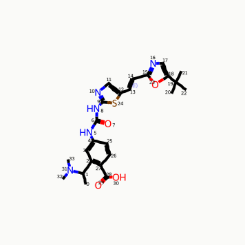 CC(c1cc(NC(=O)Nc2ncc(/C=C/c3ncc(C(C)(C)C)o3)s2)ccc1C(=O)O)N(C)C